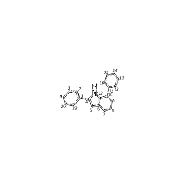 c1ccc(-c2cc3cccc(-c4ccccc4)c3[nH]2)cc1